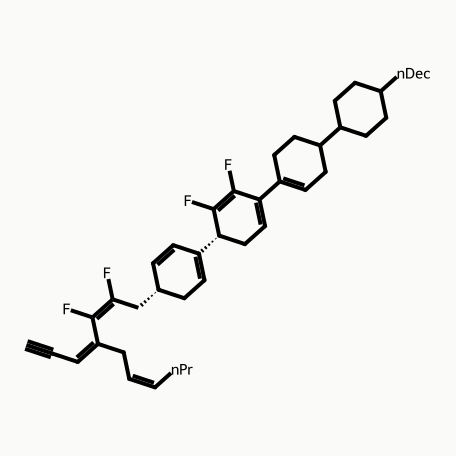 C#C/C=C(C/C=C\CCC)\C(F)=C(\F)C[C@@H]1C=CC([C@H]2CC=C(C3=CCC(C4CCC(CCCCCCCCCC)CC4)CC3)C(F)=C2F)=CC1